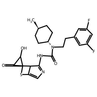 C[C@H]1CC[C@H](N(CCc2cc(F)cc(F)c2)C(=O)NC2=NC=C3SC4(C(=O)C4O)C32)CC1